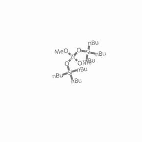 CCCC[Si](CCCC)(CCCC)[O][Zr]([O]C)([O]C)[O][Si](CCCC)(CCCC)CCCC